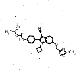 Cc1nc(COc2ccc3c(C#N)c(-c4ccc(NC(=O)OC(C)C)cc4)n(C4CCC4)c3c2)no1